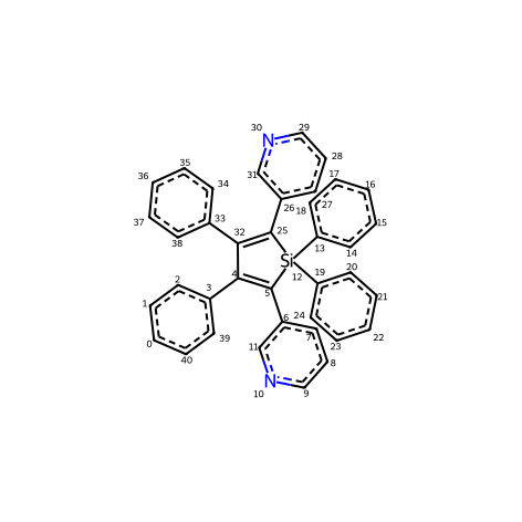 c1ccc(C2=C(c3cccnc3)[Si](c3ccccc3)(c3ccccc3)C(c3cccnc3)=C2c2ccccc2)cc1